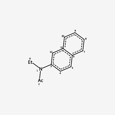 CCN(C(C)=O)c1ccc2ccccc2c1